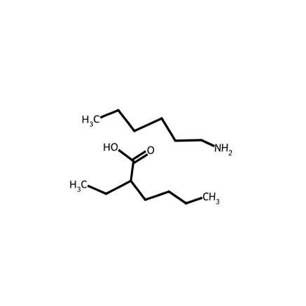 CCCCC(CC)C(=O)O.CCCCCCN